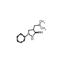 CN(C)CC1CN(c2ccccc2)NC1=N